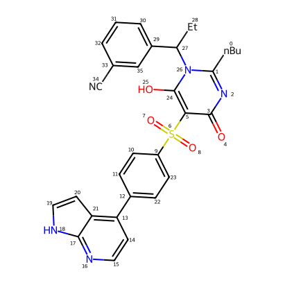 CCCCc1nc(=O)c(S(=O)(=O)c2ccc(-c3ccnc4[nH]ccc34)cc2)c(O)n1C(CC)c1cccc(C#N)c1